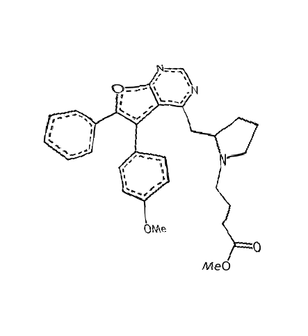 COC(=O)CCCN1CCCC1Cc1ncnc2oc(-c3ccccc3)c(-c3ccc(OC)cc3)c12